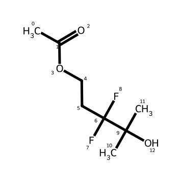 CC(=O)OCCC(F)(F)C(C)(C)O